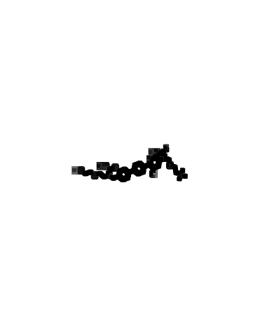 C[Si](C)(C)CCOCn1c(=S)[nH]c2nc(-c3ccc(-c4ccc(CN(CCOCCO)C(=O)O)cc4)cc3)c(Cl)cc21